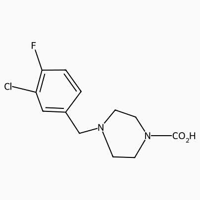 O=C(O)N1CCN(Cc2ccc(F)c(Cl)c2)CC1